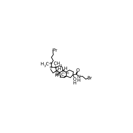 CC(C)CCC[C@@H](C)[C@H]1CC[C@H]2[C@@H]3CC=C4CC(O)(C(=O)NCCBr)CC[C@]4(C)[C@H]3CC[C@]12C